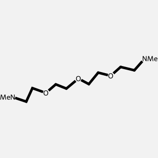 CNCCOCCOCCOCCNC